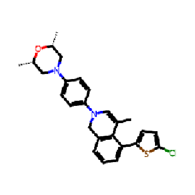 CC1=CN(c2ccc(N3C[C@@H](C)O[C@@H](C)C3)cc2)Cc2cccc(-c3ccc(Cl)s3)c21